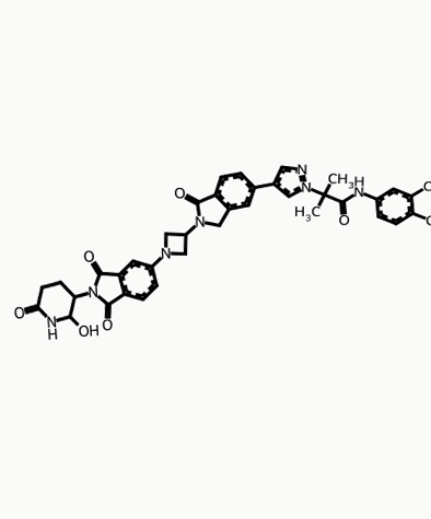 CC(C)(C(=O)Nc1ccc(C#N)c(C(F)(F)F)c1)n1cc(-c2ccc3c(c2)CN(C2CN(c4ccc5c(c4)C(=O)N(C4CCC(=O)NC4O)C5=O)C2)C3=O)cn1